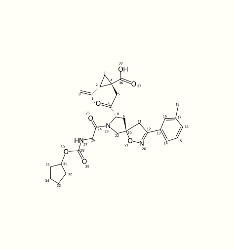 C=C[C@@H]1C[C@]1(CC(=O)[C@@H]1C[C@]2(CC(c3cccc(C)c3)=NO2)CN1C(=O)CNC(=O)OC1CCCC1)C(=O)O